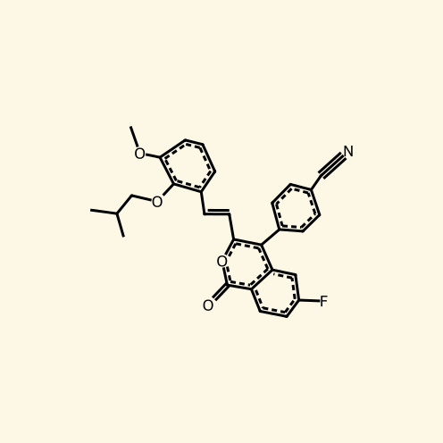 COc1cccc(C=Cc2oc(=O)c3ccc(F)cc3c2-c2ccc(C#N)cc2)c1OCC(C)C